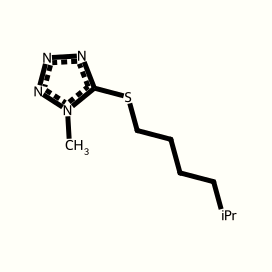 CC(C)CCCCSc1nnnn1C